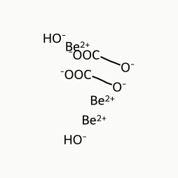 O=C([O-])[O-].O=C([O-])[O-].[Be+2].[Be+2].[Be+2].[OH-].[OH-]